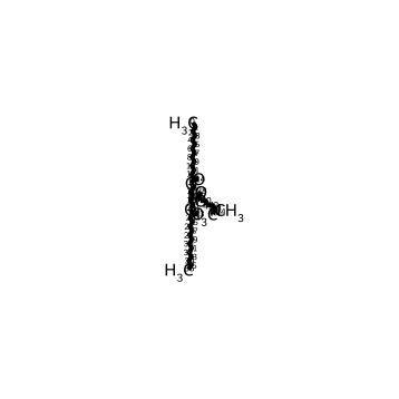 CCCCCCCCCCCCCC(=O)OCCN(CCOC(=O)CCCCCCCCCCCCC)C(=O)OCCCN(C)C